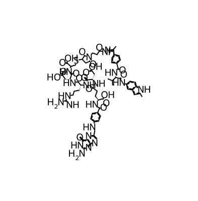 CC(=NNC(=O)CCN1C(=O)CC(SCC(NC(=O)[C@@H](CC(=O)O)NC(=O)[C@@H](CCCNC(=N)N)NC(=O)[C@H](CC(=O)O)NC(=O)CC[C@H](NC(=O)c2ccc(NCc3cnc4nc(N)[nH]c(=O)c4n3)cc2)C(=O)O)C(=O)O)C1=O)c1ccc(C(=O)N[C@H](C(=O)Nc2ccc3[nH]c(C)cc3c2)C(C)C)cc1